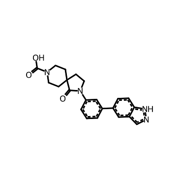 O=C(O)N1CCC2(CC1)CCN(c1cccc(-c3ccc4[nH]ncc4c3)c1)C2=O